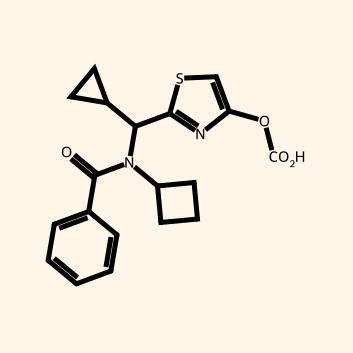 O=C(O)Oc1csc(C(C2CC2)N(C(=O)c2ccccc2)C2CCC2)n1